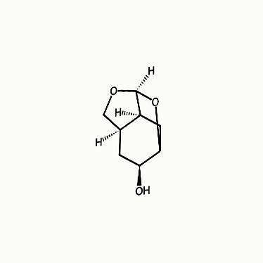 O[C@H]1C[C@H]2CO[C@H]3OC1C[C@@H]23